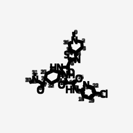 CN1CCc2nc(C(=O)N[C@]3(NC(=O)C(=O)Nc4ccc(Cl)cn4)CC[C@H](C(=O)N(C)C)CC3)sc2C1